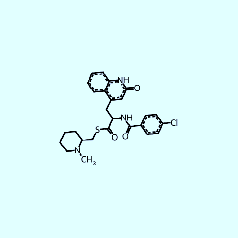 CN1CCCC[C@H]1CSC(=O)C(Cc1cc(=O)[nH]c2ccccc12)NC(=O)c1ccc(Cl)cc1